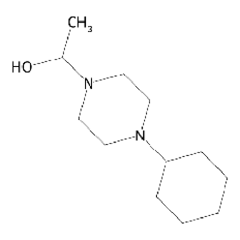 CC(O)N1CCN(C2CCCCC2)CC1